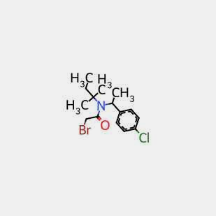 CCC(C)(C)N(C(=O)CBr)C(C)c1ccc(Cl)cc1